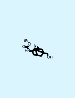 CCC12CC3CC(CO)(C1)CC(NC(=O)OC(C)(C)C)(C3)C2